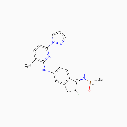 CC(C)(C)[S@+]([O-])N[C@@H]1c2ccc(Nc3nc(-n4cccn4)ccc3[N+](=O)[O-])cc2CC1F